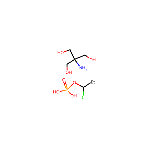 CCC(Cl)OP(=O)(O)O.NC(CO)(CO)CO